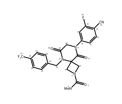 CNC(=O)N1CC2(C1)C(=O)N(c1ccc(C#N)c(F)c1)CC(=O)N2Cc1ccc(C(F)(F)F)cc1